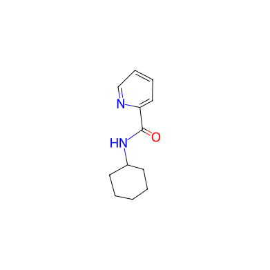 O=C(NC1CCCCC1)c1ccccn1